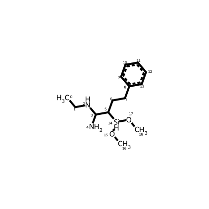 CCNC(N)C(CCc1ccccc1)[SiH](OC)OC